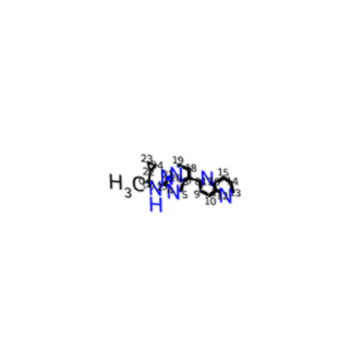 C[C@H](Nc1ncc2c(-c3ccc4ncccc4n3)ccn2n1)C1CC1